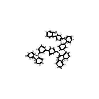 c1cc(-c2ccc(N(c3ccc(-c4ccccc4-c4ccc5c(c4)oc4ccccc45)cc3)c3cc4ccccc4c4ccccc34)cc2)cc(-n2c3ccccc3c3ccccc32)c1